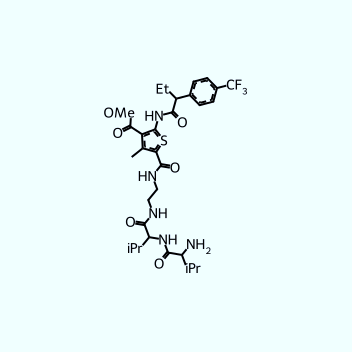 CCC(C(=O)Nc1sc(C(=O)NCCNC(=O)C(NC(=O)C(N)C(C)C)C(C)C)c(C)c1C(=O)OC)c1ccc(C(F)(F)F)cc1